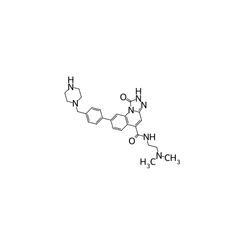 CN(C)CCNC(=O)c1cc2n[nH]c(=O)n2c2cc(-c3ccc(CN4CCNCC4)cc3)ccc12